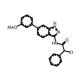 CCC(C(=O)Nc1n[nH]c2cc(-c3cccc(OC)c3)ccc12)c1ccccc1